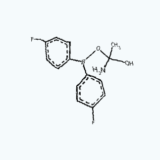 CC(N)(O)OB(c1ccc(F)cc1)c1ccc(F)cc1